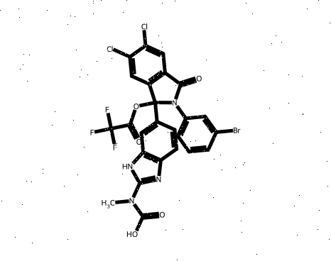 CN(C(=O)O)c1nc2ccc(C3(OC(=O)C(F)(F)F)c4cc(Cl)c(Cl)cc4C(=O)N3c3cccc(Br)c3)cc2[nH]1